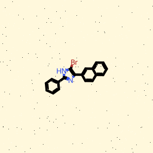 Brc1[nH]c(-c2ccccc2)nc1-c1ccc2ccccc2c1